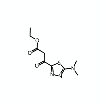 CCOC(=O)CC(=O)c1nnc(N(C)C)s1